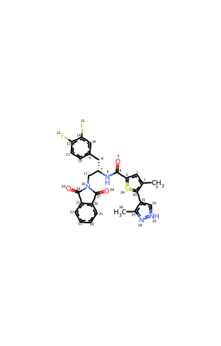 Cc1cc(C(=O)N[C@@H](Cc2ccc(F)c(F)c2)CN2C(=O)c3ccccc3C2=O)sc1-c1c[nH]nc1C